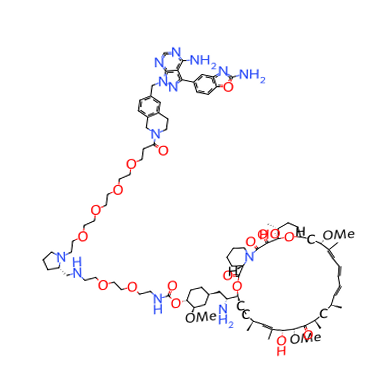 CO[C@H]1C[C@@H]2CC[C@@H](C)[C@@](O)(O2)C(=O)C(=O)N2CCCC[C@H]2C(=O)O[C@H]([C@H](N)C[C@@H]2CC[C@@H](OC(=O)NCCOCCOCCNC[C@@H]3CCCN3CCOCCOCCOCCOCCC(=O)N3CCc4cc(Cn5nc(-c6ccc7oc(N)nc7c6)c6c(N)ncnc65)ccc4C3)[C@H](OC)C2)CC[C@H](C)/C=C(\C)[C@@H](O)[C@@H](OC)C(=O)[C@H](C)C[C@H](C)/C=C/C=C/C=C/1C